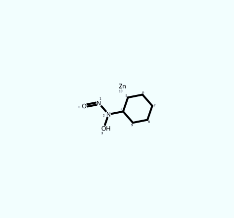 O=NN(O)C1CCCCC1.[Zn]